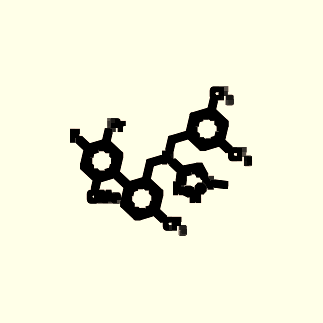 COc1cc(F)c(C(C)C)cc1-c1ccc(C(F)(F)F)cc1CN(Cc1cc(C(F)(F)F)cc(C(F)(F)F)c1)c1cn(C)nn1